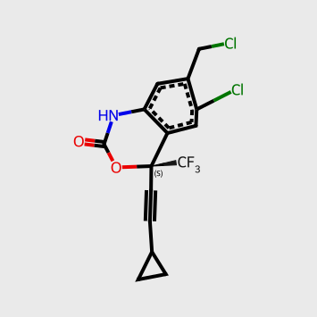 O=C1Nc2cc(CCl)c(Cl)cc2[C@@](C#CC2CC2)(C(F)(F)F)O1